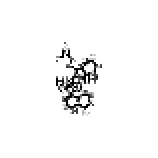 CN(C)CCc1c(NS(=O)(=O)c2cccc3ccccc23)[nH]c2ccccc12